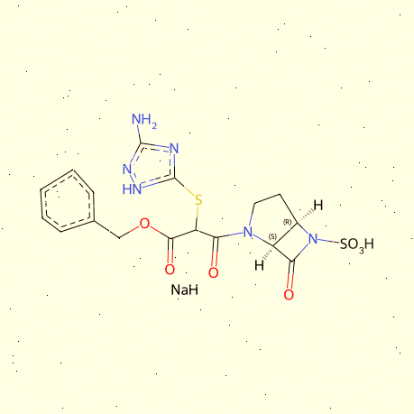 Nc1n[nH]c(SC(C(=O)OCc2ccccc2)C(=O)N2CC[C@@H]3[C@H]2C(=O)N3S(=O)(=O)O)n1.[NaH]